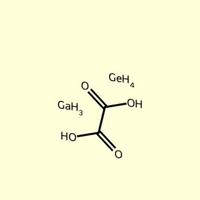 O=C(O)C(=O)O.[GaH3].[GeH4]